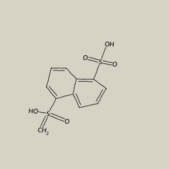 C=S(=O)(O)c1cccc2c(S(=O)(=O)O)cccc12